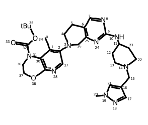 Cc1c(N2CCc3cnc(NC4CCN(Cc5cnn(C)c5)CC4)nc3C2)cnc2c1N(C(=O)OC(C)(C)C)CCO2